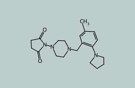 Cc1ccc(N2CCCC2)c(CN2CCN(N3C(=O)CCC3=O)CC2)c1